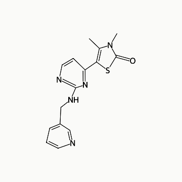 Cc1c(-c2ccnc(NCc3cccnc3)n2)sc(=O)n1C